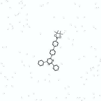 CC1(C)OB(c2ccc(-c3ccc(-c4cc(-c5ccccc5)nc(-c5ccccc5)n4)cc3)cc2)OC1(C)C